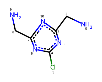 NCc1nc(Cl)nc(CN)n1